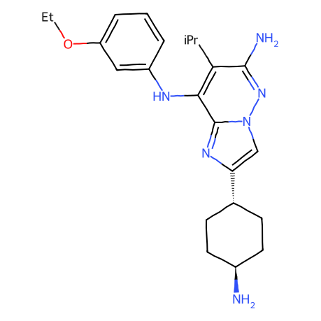 CCOc1cccc(Nc2c(C(C)C)c(N)nn3cc([C@H]4CC[C@H](N)CC4)nc23)c1